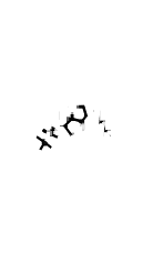 CC(C)(C)[Si](C)(C)O[C@@H]1CO[C@H]2[C@H]1OC[C@@H]2N=[N+]=[N-]